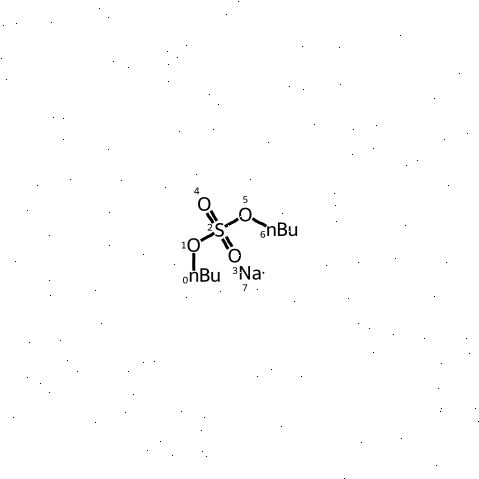 CCCCOS(=O)(=O)OCCCC.[Na]